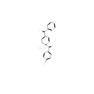 O=C(C1=CCC(O)(C(=O)c2ccc(F)cc2)C=C1)c1ccccc1